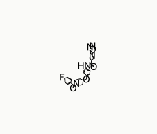 O=C(Nc1ccc(OC2CCN(C(=O)c3ccc(F)cc3)CC2)cc1)C1CN(c2ccnnc2)C1